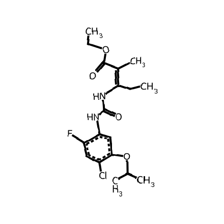 CCOC(=O)C(C)=C(CC)NC(=O)Nc1cc(OC(C)C)c(Cl)cc1F